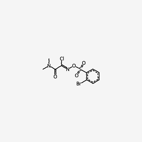 CN(C)C(=O)C(Cl)=NOS(=O)(=O)c1ccccc1Br